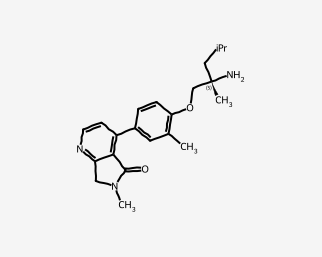 Cc1cc(-c2ccnc3c2C(=O)N(C)C3)ccc1OC[C@@](C)(N)CC(C)C